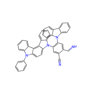 N#Cc1cc(-n2c3ccccc3c3c4c5ccccc5n(-c5ccccc5)c4ccc32)c(-n2c3ccccc3c3ccccc32)cc1C=N